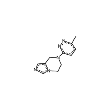 Cc1ccc(N2CCn3cncc3C2)nn1